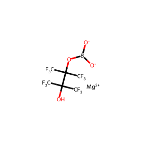 [Mg+2].[O-]B([O-])OC(C(F)(F)F)(C(F)(F)F)C(O)(C(F)(F)F)C(F)(F)F